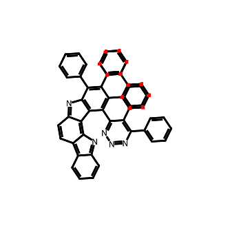 c1ccc(-c2ccccc2-c2c(-c3ccccc3)c(-c3ccccc3)c3c(c2-c2nnnc(-c4ccccc4)c2-c2ccccc2)-c2c4c(ccc2=N3)=c2ccccc2=N4)cc1